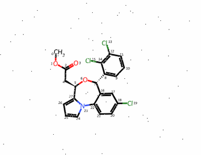 COC(=O)C[C@H]1O[C@H](c2cccc(Cl)c2Cl)c2cc(Cl)ccc2-n2cccc21